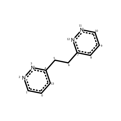 c1cnnc(CCc2cccnn2)c1